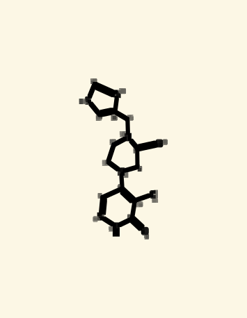 O=C1CN(c2cn[nH]c(=O)c2Cl)CCN1Cc1cscn1